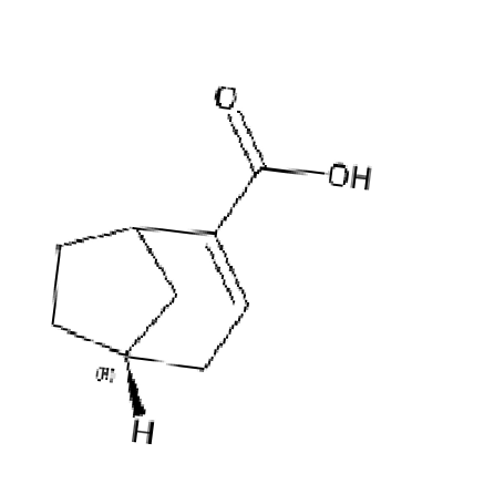 O=C(O)C1=CC[C@@H]2CCC1C2